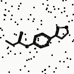 CCC(=O)Oc1ccc(C2=NOCC2)cc1